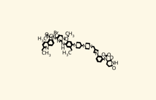 CCOc1cc(N2CCC(N3CCN(CC4CN(c5cccc6c5oc(=O)n6C5CCC(=O)NC5=O)C4)CC3)CC2)c(CC)cc1Nc1ncc(Br)c(Nc2ccc3nc(CC)ccc3c2P(C)(C)=O)n1